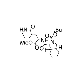 COC(=O)C(C[C@@H]1CCCNC1=O)NC(=O)[C@@H]1[C@H]2CCCC[C@H]2CN1C(=O)OC(C)(C)C